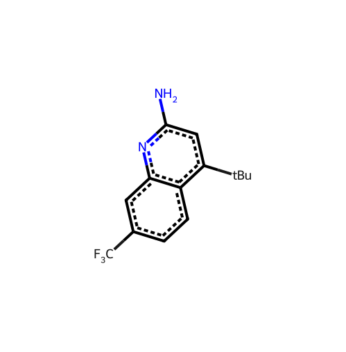 CC(C)(C)c1cc(N)nc2cc(C(F)(F)F)ccc12